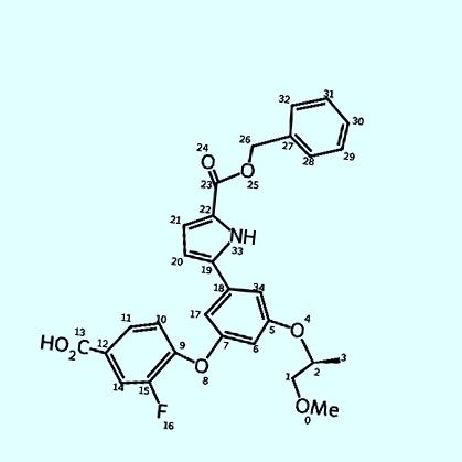 COC[C@H](C)Oc1cc(Oc2ccc(C(=O)O)cc2F)cc(-c2ccc(C(=O)OCc3ccccc3)[nH]2)c1